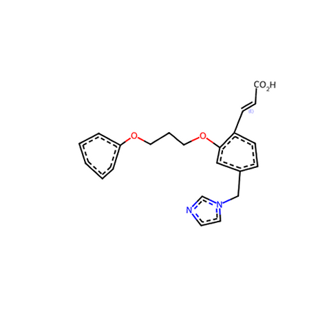 O=C(O)/C=C/c1ccc(Cn2ccnc2)cc1OCCCOc1ccccc1